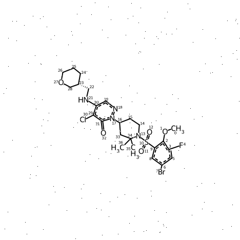 COc1c(F)cc(Br)cc1S(=O)(=O)N1CCC(n2ncc(NC[C@H]3CCCOC3)c(Cl)c2=O)CC1(C)C